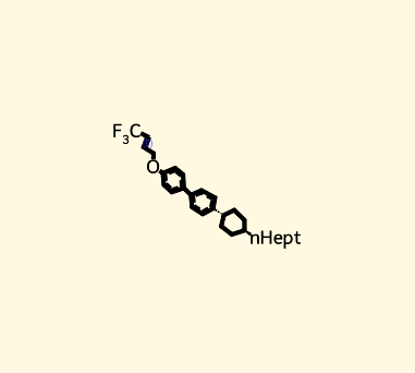 CCCCCCC[C@H]1CC[C@H](c2ccc(-c3ccc(OC/C=C/C(F)(F)F)cc3)cc2)CC1